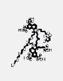 CC[N+]1=C(/C=C/C(C)=C/C=C2/N(CCCC(=O)ON3C(=O)CCC3=O)c3ccc4c(S(=O)(=O)O)cc(S(=O)(=O)O)cc4c3C2(C)CCOCCOCCOCCOCCOCCOC)C(C)(CCCS(=O)(=O)O)c2c1ccc1c(S(=O)(=O)O)cc(S(=O)(=O)O)cc21